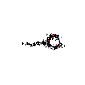 CCOCCC(=O)N1CCN(c2ccc3c(c2)CCN(C(=O)O[C@@H]2CC[C@@H](C[C@@H](N)[C@@H]4C[C@@H](OC)[C@H](C)/C=C(\C)[C@@H](O)[C@@H](OC)C(=O)[C@H](C)C[C@H](C)/C=C/C=C/C=C(\C)[C@@H](OC)C[C@@H]5CC[C@@H](C)[C@@](O)(O5)C(=O)C(=O)N5CCCC[C@H]5C(=O)O4)C[C@H]2OC)C3)CC1